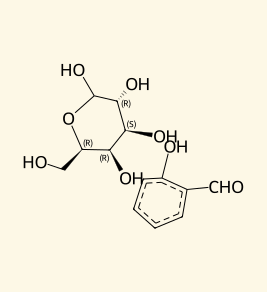 O=Cc1ccccc1O.OC[C@H]1OC(O)[C@H](O)[C@@H](O)[C@H]1O